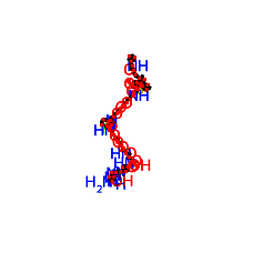 COc1ccc(C(SCCC(=O)NCCCOCCOCCOCCCn2nnc3c2CCCCCC3(F)C(=O)NCCOCCOCCOCCNC(=O)CCC(NC(=O)c2ccc(NCc3cnc4nc(N)nc(O)c4n3)cc2)C(=O)O)(c2ccc(C)cc2)c2ccc(C)c(C#CCCC(=O)NCc3ccccc3)c2)cc1